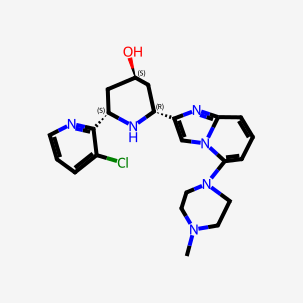 CN1CCN(c2cccc3nc([C@H]4C[C@H](O)C[C@@H](c5ncccc5Cl)N4)cn23)CC1